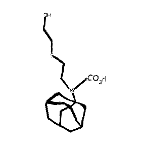 O=C(O)N(CCSCCO)C12CC3CC(CC(C3)C1)C2